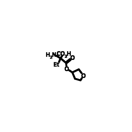 CCC(N)(C(=O)O)C(=O)OC1CCOC1